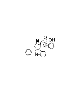 CC(NC(=O)c1c(CC#N)c(-c2ccccc2)nc2ccccc12)(C(=O)O)c1ccccc1